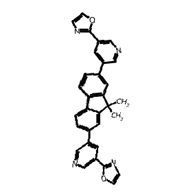 CC1(C)c2cc(-c3cncc(-c4ncco4)c3)ccc2-c2ccc(-c3cncc(-c4ncco4)c3)cc21